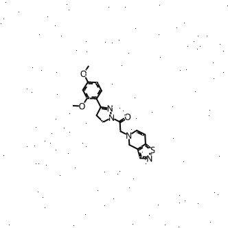 COc1ccc(C2=NN(C(=O)CN3C=Cc4sncc4C3)CC2)c(OC)c1